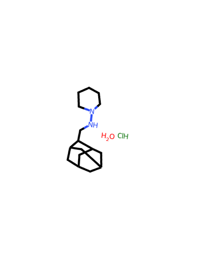 C1CCN(NCC2C3CC4CC(C3)CC2C4)CC1.Cl.O